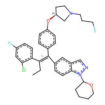 CC/C(=C(/c1ccc(O[C@H]2CCN(CCCF)C2)cc1)c1ccc2c(cnn2C2CCCCO2)c1)c1ccc(F)cc1Cl